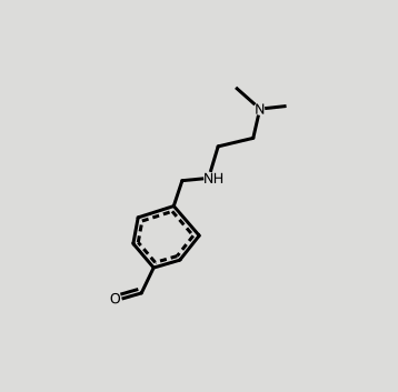 CN(C)CCNCc1ccc(C=O)cc1